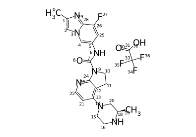 Cc1cn2cc(NC(=O)N3CCc4c(N5CCN[C@H](C)C5)ccnc43)cc(F)c2n1.O=C(O)C(F)(F)F